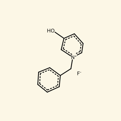 Oc1ccc[n+](Cc2ccccc2)c1.[F-]